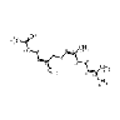 CC(=O)OCC=C(C)CCC=C(C)CCC=C(C)C